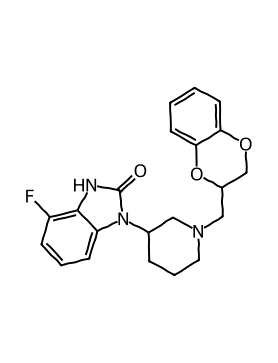 O=c1[nH]c2c(F)cccc2n1C1CCCN(CC2COc3ccccc3O2)C1